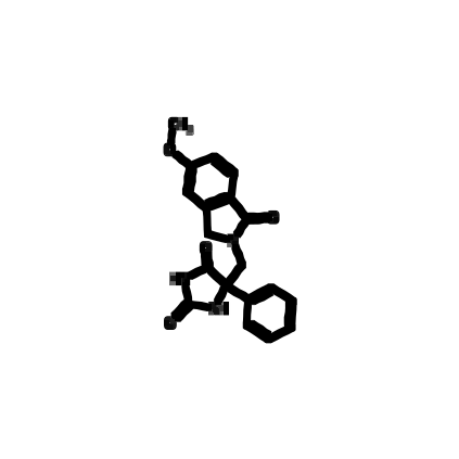 COc1ccc2c(c1)CN(CC1(c3ccccc3)NC(=O)NC1=O)C2=O